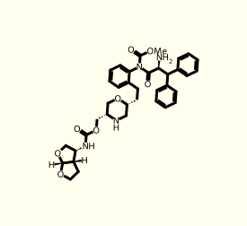 COC(=O)N(C(=O)[C@@H](N)C(c1ccccc1)c1ccccc1)c1ccccc1CC[C@@H]1CN[C@H](COC(=O)N[C@H]2CO[C@H]3OCC[C@H]32)CO1